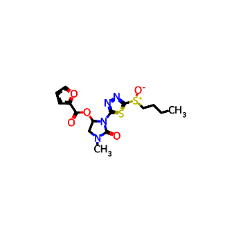 CCCC[S+]([O-])c1nnc(N2C(=O)N(C)CC2OC(=O)c2ccco2)s1